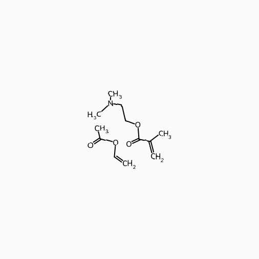 C=C(C)C(=O)OCCN(C)C.C=COC(C)=O